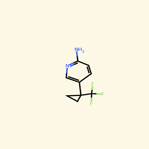 Nc1ccc(C2(C(F)(F)F)CC2)cn1